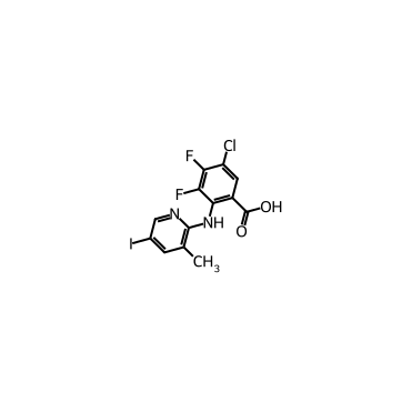 Cc1cc(I)cnc1Nc1c(C(=O)O)cc(Cl)c(F)c1F